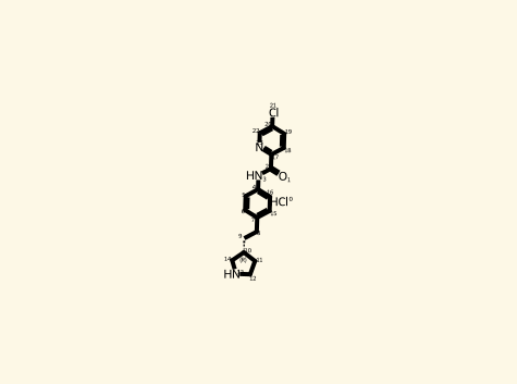 Cl.O=C(Nc1ccc(CC[C@@H]2CCNC2)cc1)c1ccc(Cl)cn1